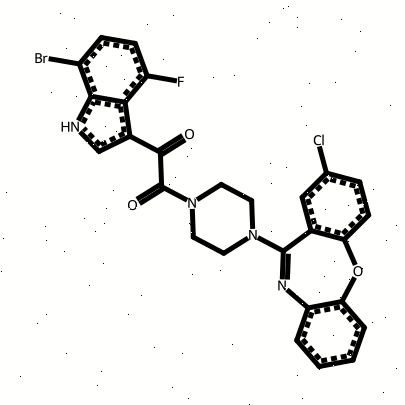 O=C(C(=O)N1CCN(C2=Nc3ccccc3Oc3ccc(Cl)cc32)CC1)c1c[nH]c2c(Br)ccc(F)c12